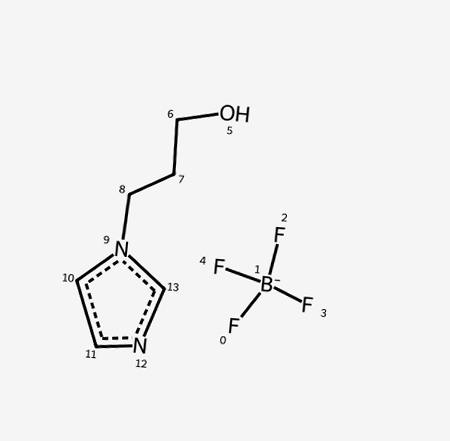 F[B-](F)(F)F.OCCCn1ccnc1